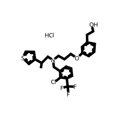 CC(CN(CCCOc1cccc(CCO)c1)Cc1cccc(C(F)(F)F)c1Cl)c1ccsc1.Cl